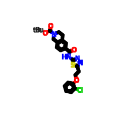 CC(C)(C)OC(=O)N1CCc2cc(C(=O)Nc3nnc(CCOc4ccccc4Cl)s3)ccc2C1